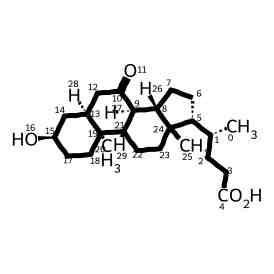 C[C@H](CCC(=O)O)[C@H]1CC[C@H]2[C@@H]3C(=O)C[C@@H]4C[C@H](O)CC[C@]4(C)[C@H]3CCC12C